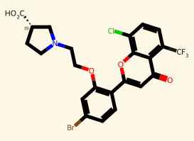 O=C(O)[C@H]1CCN(CCOc2cc(Br)ccc2-c2cc(=O)c3c(C(F)(F)F)ccc(Cl)c3o2)C1